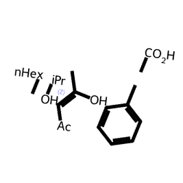 CC(=O)/C=C(/C)O.CC(=O)O.CC(C)O.CCCCCCC.Cc1ccccc1